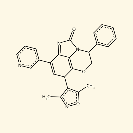 Cc1noc(C)c1C1C=C(c2cccnc2)C2=NC(=O)N3C2=C1OCC3c1ccccc1